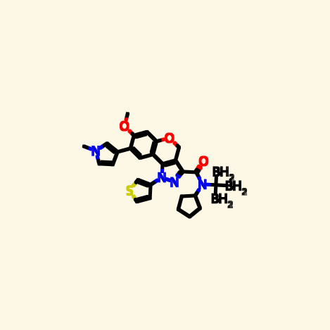 BC(B)(B)N(C(=O)c1nn(-c2ccsc2)c2c1COc1cc(OC)c(-c3ccn(C)c3)cc1-2)C1CCCC1